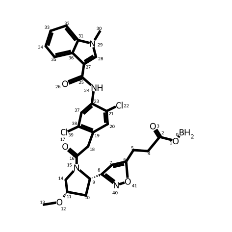 BOC(=O)CCc1cc([C@@H]2C[C@H](OC)CN2C(=O)Cc2cc(Cl)c(NC(=O)c3cn(C)c4ccccc34)cc2Cl)no1